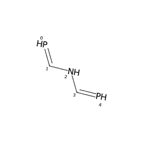 P=CNC=P